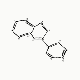 c1ccc2ncc(-c3ccncn3)cc2c1